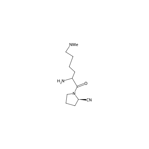 CNCCCCC(N)C(=O)N1CCC[C@@H]1C#N